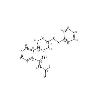 CC(C)OC(=O)c1cccnc1N1CCN(CCc2ccccc2)CC1